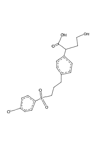 O=C(O)C(CCO)c1ccc(CCCS(=O)(=O)c2ccc(Cl)cc2)cc1